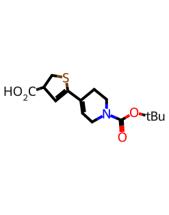 CC(C)(C)OC(=O)N1CC=C(C2=CC(C(=O)O)CS2)CC1